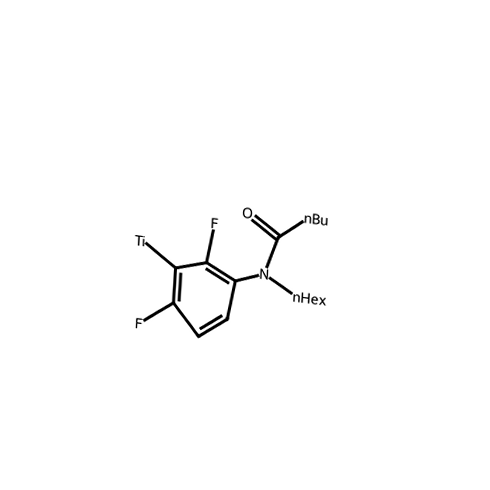 CCCCCCN(C(=O)CCCC)c1ccc(F)[c]([Ti])c1F